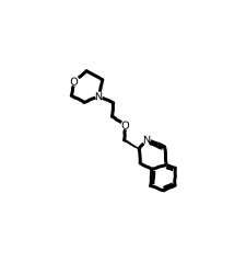 C1=N[C@H](COCCN2CCOCC2)Cc2ccccc21